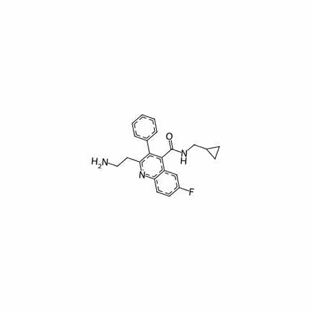 NCCc1nc2ccc(F)cc2c(C(=O)NCC2CC2)c1-c1ccccc1